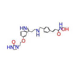 O=C(/C=C/c1ccc(CNCCc2c[nH]c3ccc(OCCN4CCNC4=O)cc23)cc1)NO